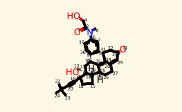 CN(C(=O)CO)c1ccc([C@H]2C[C@@]3(C)[C@@H](CC[C@@]3(O)C#CC(C)(C)C)[C@@H]3CCC4=CC(=O)CCC4=C32)cc1